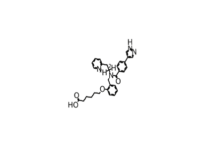 [2H]C([2H])(Cc1ccccn1)N(Cc1ccccc1OCCCCCC(=O)O)C(=O)c1ccc(-c2cn[nH]c2)cc1